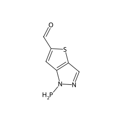 O=Cc1cc2c(cnn2P)s1